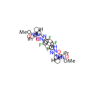 COC(=O)N[C@H](C(=O)N1[C@H](c2nc3c(F)c(-c4cc5cc(F)c4CCc4cc(F)c(c(-c6ccc7[nH]c([C@@H]8C[C@@H]9CCCC[C@@H]9N8C(=O)[C@@H](NC(=O)OC)C(C)C)nc7c6F)c4)CC5)ccc3[nH]2)C[C@@H]2CCCC[C@@H]21)C(C)C